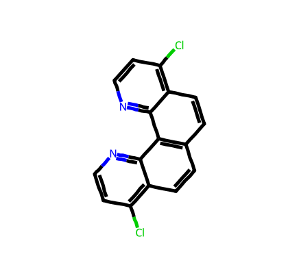 Clc1ccnc2c1ccc1ccc3c(Cl)ccnc3c12